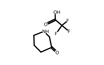 O=C(O)C(F)(F)F.O=C1CCCNC1